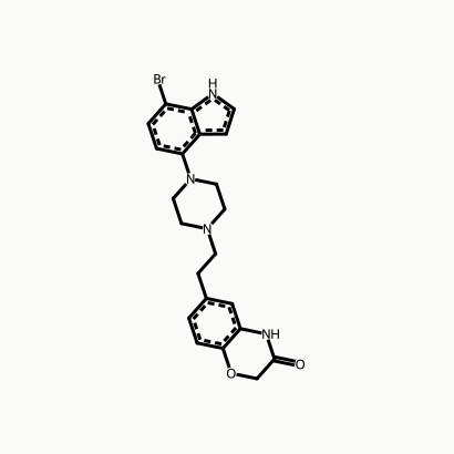 O=C1COc2ccc(CCN3CCN(c4ccc(Br)c5[nH]ccc45)CC3)cc2N1